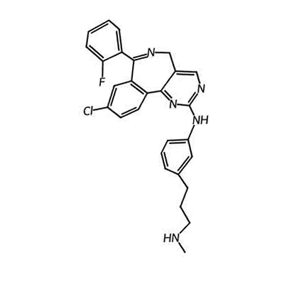 CNCCCc1cccc(Nc2ncc3c(n2)-c2ccc(Cl)cc2C(c2ccccc2F)=NC3)c1